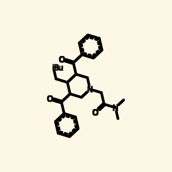 CCC(C)CC1C(C(=O)c2ccccc2)CN(CC(=O)N(C)C)CC1C(=O)c1ccccc1